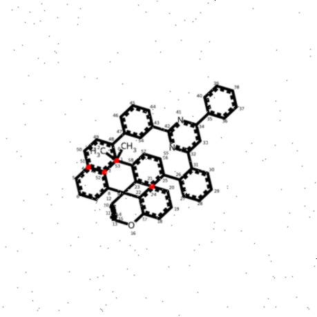 CC1(C)c2ccccc2C2(c3ccccc3Oc3ccccc32)c2cc(-c3ccccc3-c3cc(-c4ccccc4)nc(-c4cccc(-c5ccccc5)c4)n3)ccc21